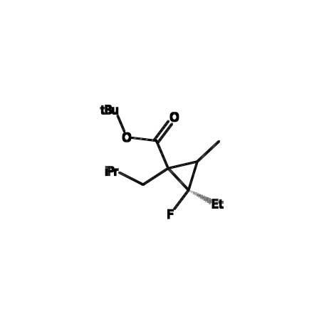 CC[C@@]1(F)C(C)C1(CC(C)C)C(=O)OC(C)(C)C